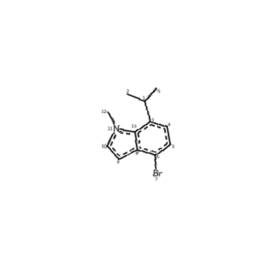 CC(C)c1ccc(Br)c2ccn(C)c12